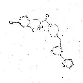 NC(Cc1ccc(Cl)cc1Cl)C(=O)N1CCN(Cc2cccc(-c3cccs3)c2)CC1